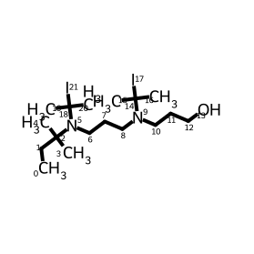 CCC(C)(C)N(CCCN(CCCO)C(C)(C)I)C(C)(C)I